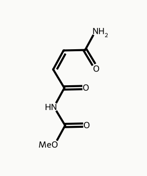 COC(=O)NC(=O)/C=C\C(N)=O